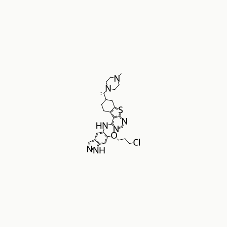 CN1CCN([C]C2CCc3c(sc4ncnc(Nc5cc6cn[nH]c6cc5OCCCCl)c34)C2)CC1